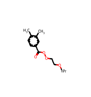 CCCOC[CH]OOC(=O)c1ccc(C)c(C)c1